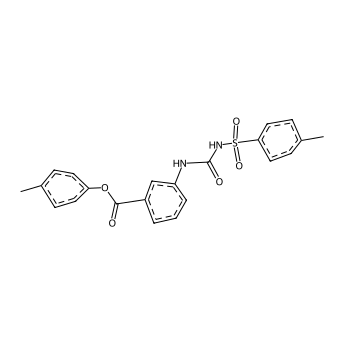 Cc1ccc(OC(=O)c2cccc(NC(=O)NS(=O)(=O)c3ccc(C)cc3)c2)cc1